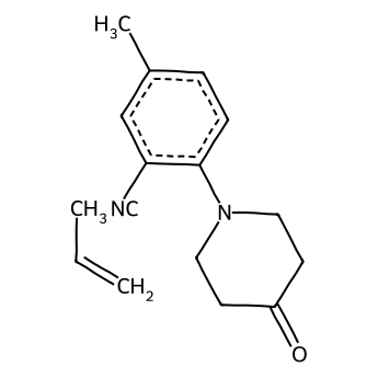 C=CC.Cc1ccc(N2CCC(=O)CC2)c(C#N)c1